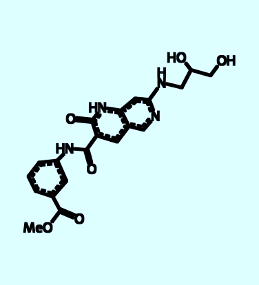 COC(=O)c1cccc(NC(=O)c2cc3cnc(NCC(O)CO)cc3[nH]c2=O)c1